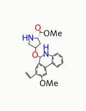 C=Cc1cc2c(cc1OC)-c1ccccc1NC2O[C@H]1CN[C@H](C(=O)OC)C1